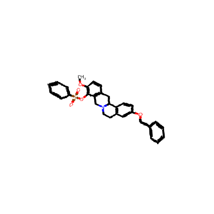 COc1ccc2c(c1OS(=O)(=O)c1ccccc1)CN1CCc3cc(OCc4ccccc4)ccc3C1C2